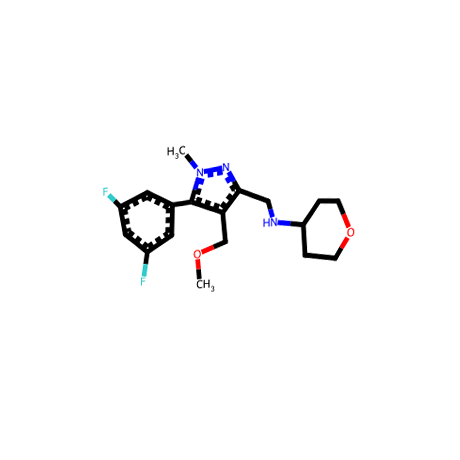 COCc1c(CNC2CCOCC2)nn(C)c1-c1cc(F)cc(F)c1